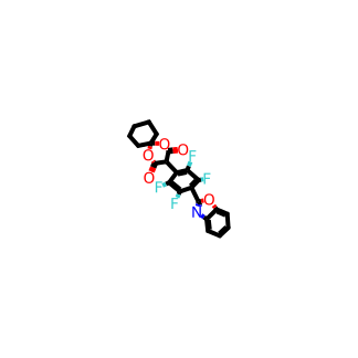 O=C1OC2(CCCCC2)OC(=O)C1c1c(F)c(F)c(-c2nc3ccccc3o2)c(F)c1F